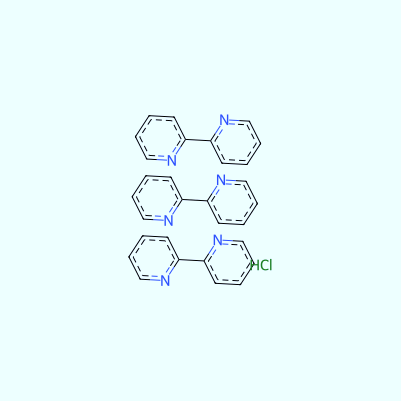 Cl.c1ccc(-c2ccccn2)nc1.c1ccc(-c2ccccn2)nc1.c1ccc(-c2ccccn2)nc1